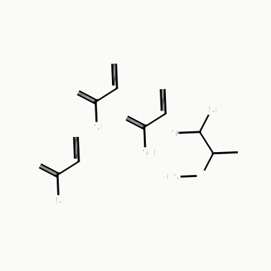 C=CC(N)=O.C=CC(N)=O.C=CC(N)=O.CC(ON)C(N)N